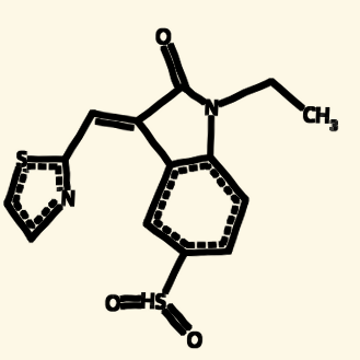 CCN1C(=O)/C(=C/c2nccs2)c2cc([SH](=O)=O)ccc21